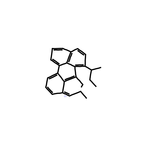 CC/C=c1/cccc2c1c(CC)c1c(C(C)CC)ccc3cccc2c31